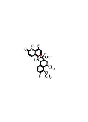 COc1c(F)ccc2c1[C@H](C)C[C@](O)(C(F)(F)F)[C@H]2Nc1ccc(F)c2[nH]c(=O)ccc12